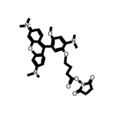 COc1cc(N(C)C)c(OCCCC(=O)ON2C(=O)CCC2=O)cc1-c1c2ccc(=[N+](C)C)cc-2oc2cc(N(C)C)ccc12